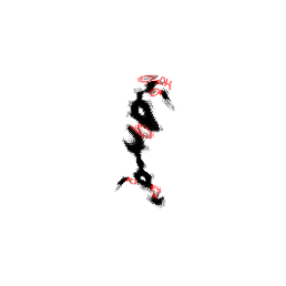 CCOc1cc(C#C/C(C)=C/COc2ccc(C[C@H](OCC)C(=O)O)cc2)cc(OCC)c1